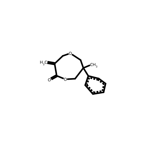 C=C1COCC(C)(c2ccccc2)COC1=O